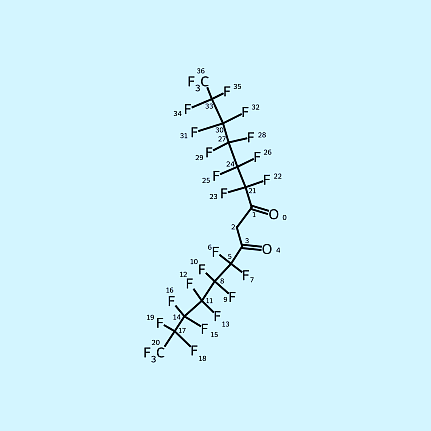 O=C(CC(=O)C(F)(F)C(F)(F)C(F)(F)C(F)(F)C(F)(F)C(F)(F)F)C(F)(F)C(F)(F)C(F)(F)C(F)(F)C(F)(F)C(F)(F)F